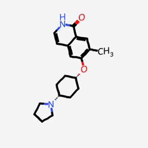 Cc1cc2c(=O)[nH]ccc2cc1O[C@H]1CC[C@@H](N2CCCC2)CC1